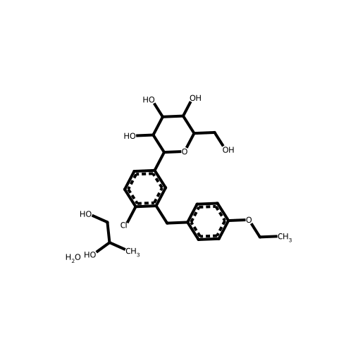 CC(O)CO.CCOc1ccc(Cc2cc(C3OC(CO)C(O)C(O)C3O)ccc2Cl)cc1.O